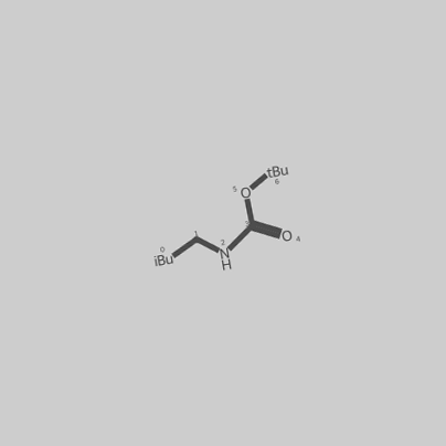 CCC(C)[CH]NC(=O)OC(C)(C)C